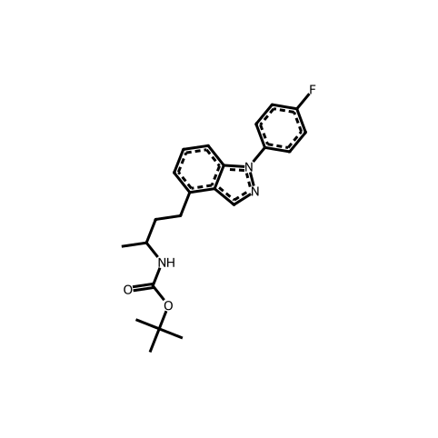 CC(CCc1cccc2c1cnn2-c1ccc(F)cc1)NC(=O)OC(C)(C)C